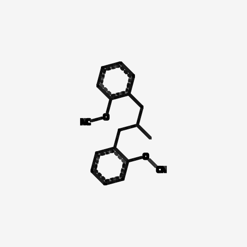 CC(Cc1ccccc1OC#N)Cc1ccccc1OC#N